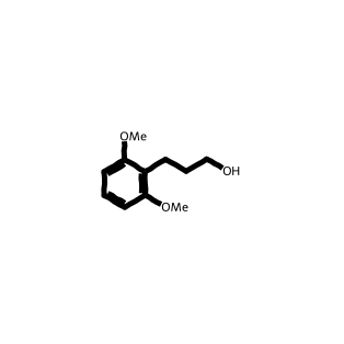 COc1cccc(OC)c1CCCO